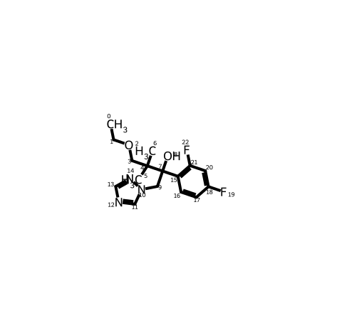 CCOCC(C)(C)C(O)(Cn1cncn1)c1ccc(F)cc1F